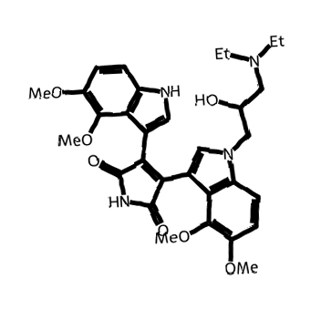 CCN(CC)CC(O)Cn1cc(C2=C(c3c[nH]c4ccc(OC)c(OC)c34)C(=O)NC2=O)c2c(OC)c(OC)ccc21